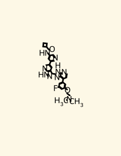 CN(C)CCOc1cc(F)cc(-c2ccnc3[nH]c(-c4n[nH]c5ncc(-c6cncc(NC(=O)C7CCC7)c6)cc45)nc23)c1